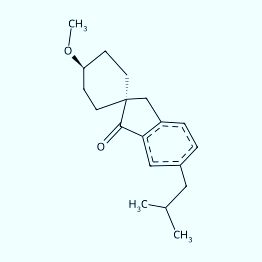 CO[C@H]1CC[C@]2(CC1)Cc1ccc(CC(C)C)cc1C2=O